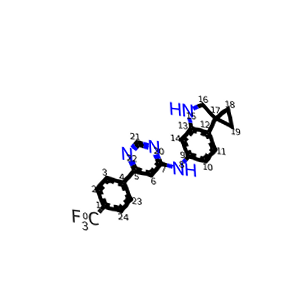 FC(F)(F)c1ccc(-c2cc(Nc3ccc4c(c3)NCC43CC3)ncn2)cc1